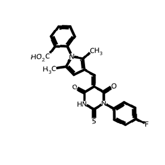 Cc1cc(/C=C2\C(=O)NC(=S)N(c3ccc(F)cc3)C2=O)c(C)n1-c1ccccc1C(=O)O